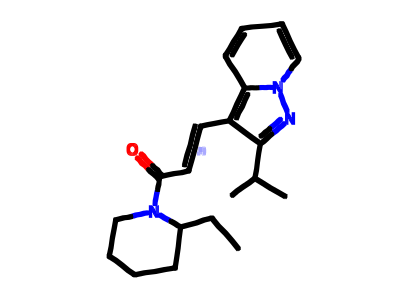 CCC1CCCCN1C(=O)/C=C/c1c(C(C)C)nn2ccccc12